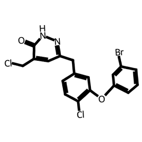 O=c1[nH]nc(Cc2ccc(Cl)c(Oc3cccc(Br)c3)c2)cc1CCl